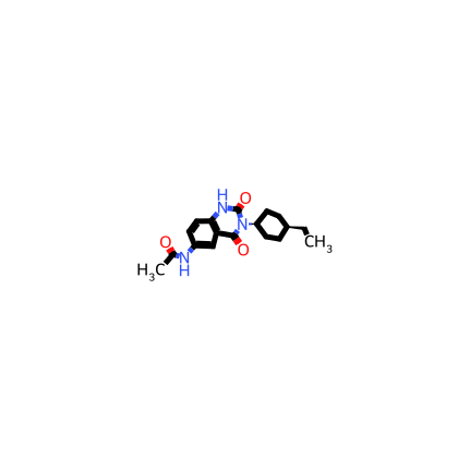 CC[C@H]1CC[C@H](n2c(=O)[nH]c3ccc(NC(C)=O)cc3c2=O)CC1